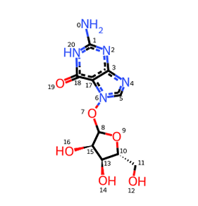 Nc1nc2ncn(OC3O[C@H](CO)[C@@H](O)[C@H]3O)c2c(=O)[nH]1